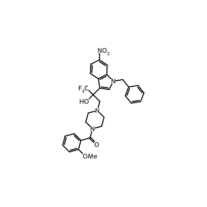 COc1ccccc1C(=O)N1CCN(CC(O)(c2cn(Cc3ccccc3)c3cc([N+](=O)[O-])ccc23)C(F)(F)F)CC1